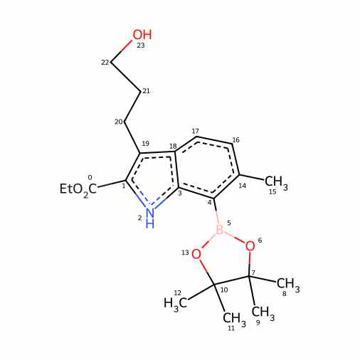 CCOC(=O)c1[nH]c2c(B3OC(C)(C)C(C)(C)O3)c(C)ccc2c1CCCO